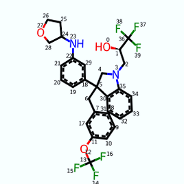 O[C@H](CN1CC(Cc2cccc(OC(F)(F)F)c2)(c2cccc(NC3CCOC3)c2)c2ccccc21)C(F)(F)F